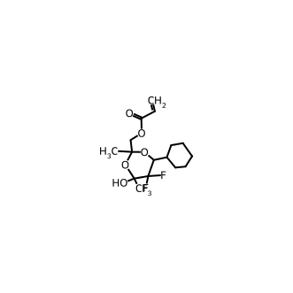 C=CC(=O)OCC1(C)OC(C2CCCCC2)C(F)(F)C(O)(C(F)(F)F)O1